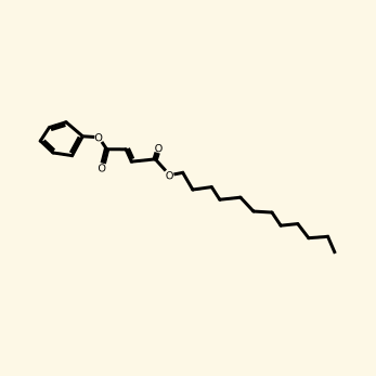 CCCCCCCCCCCCOC(=O)/C=C/C(=O)Oc1ccccc1